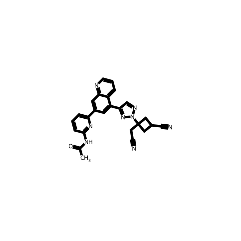 CC(=O)Nc1cccc(-c2cc(-c3cnn(C4(CC#N)CC(C#N)C4)n3)c3cccnc3c2)n1